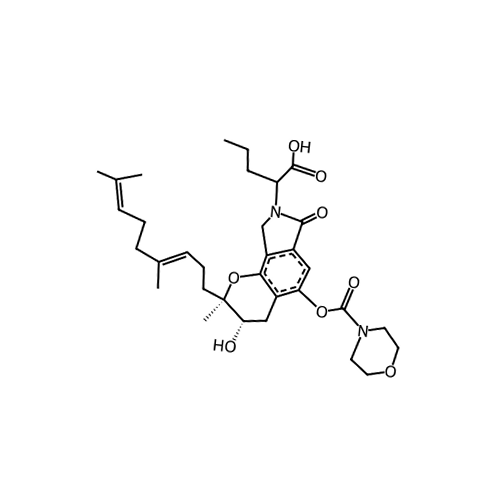 CCCC(C(=O)O)N1Cc2c(cc(OC(=O)N3CCOCC3)c3c2O[C@](C)(CC/C=C(\C)CCC=C(C)C)[C@@H](O)C3)C1=O